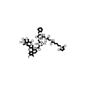 CC[C@@]1(O)C(=O)OCc2c1cc1n(c2=O)Cc2c-1nc1cc(F)c(C)c3c1c2[C@@H](NC(=O)[C@H](CO)NC(=O)CNC(=O)[C@H](Cc1ccccc1)NC(=O)CNC(=O)CNC(=O)CCCCCN1C(=O)C=CC1=O)CC3